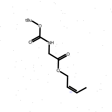 C/C=C\COC(=O)CNC(=O)OC(C)(C)C